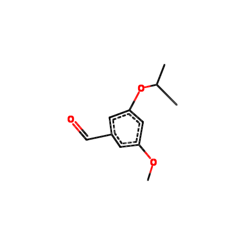 COc1cc(C=O)cc(OC(C)C)c1